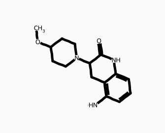 COC1CCN(C2Cc3c([NH])cccc3NC2=O)CC1